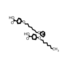 C1=C2CCC(C1)CC2.CCCCCCCCOc1ccc(C(=O)O)cc1.CCCCCCCCOc1ccc(C(=O)O)cc1